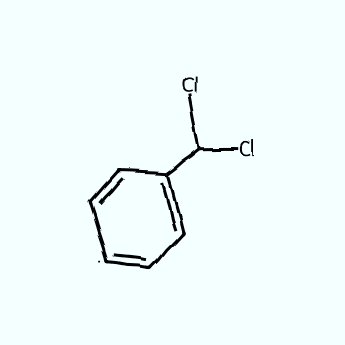 ClC(Cl)c1cc[c]cc1